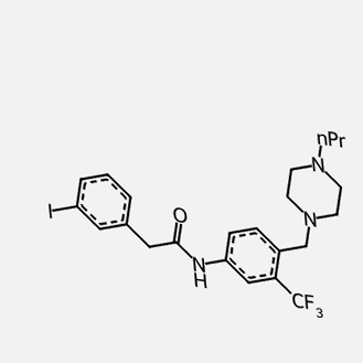 CCCN1CCN(Cc2ccc(NC(=O)Cc3cccc(I)c3)cc2C(F)(F)F)CC1